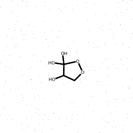 OC1COOC1(O)O